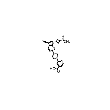 CN[C@H]1C[C@H](n2cc(C#N)c3ccc(N4CCN(c5cc(C(=O)O)ccn5)CC4)nc32)C1